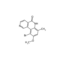 COc1cc(C)c2[nH]c(=O)c3ccncc3c2c1Br